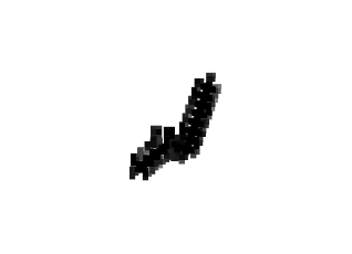 O=S(=O)(NC(O)(F)C(F)(F)C(F)(F)C(F)(F)F)C(F)(F)C(F)(F)C(F)(F)C(F)(F)C(F)(F)C(F)(F)C(F)(F)C(F)(F)F